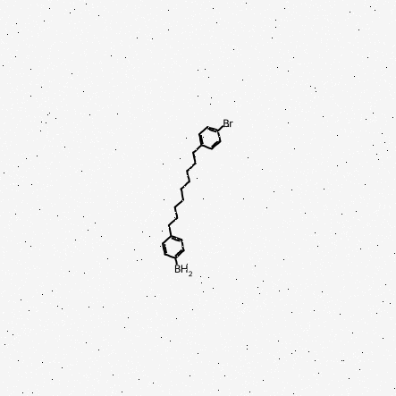 Bc1ccc(CCCCCCCCCc2ccc(Br)cc2)cc1